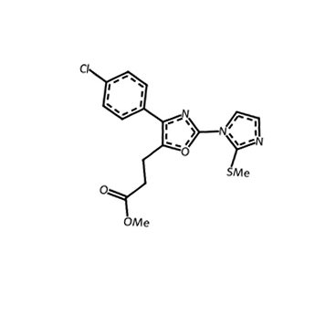 COC(=O)CCc1oc(-n2ccnc2SC)nc1-c1ccc(Cl)cc1